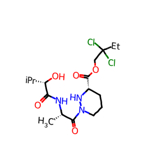 CCC(Cl)(Cl)COC(=O)[C@@H]1CCCN(C(=O)[C@H](C)NC(=O)[C@@H](O)C(C)C)N1